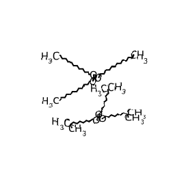 CC(C)CCCCCCCOP(OCCCCCCCC(C)C)OCCCCCCCC(C)C.CCCCCCCCCCCCCOP(OCCCCCCCCCCCCC)OCCCCCCCCCCCCC